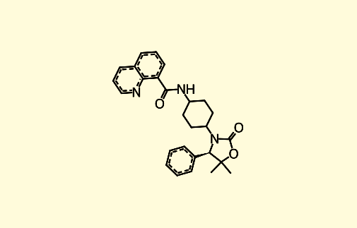 CC1(C)OC(=O)N(C2CCC(NC(=O)c3cccc4cccnc34)CC2)[C@@H]1c1ccccc1